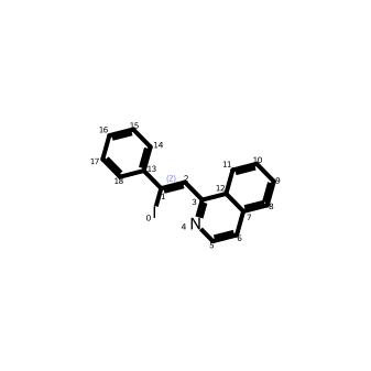 I/C(=C\C1=NC=CC2=C=CC=CC21)c1ccccc1